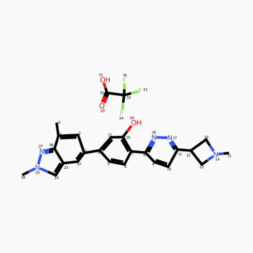 Cc1cc(-c2ccc(-c3ccc(C4CN(C)C4)nn3)c(O)c2)cc2cn(C)nc12.O=C(O)C(F)(F)F